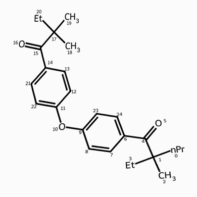 CCCC(C)(CC)C(=O)c1ccc(Oc2ccc(C(=O)C(C)(C)CC)cc2)cc1